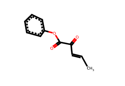 CC=CC(=O)C(=O)Oc1ccccc1